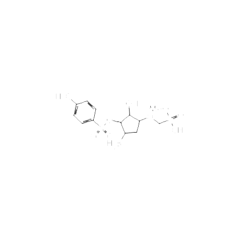 BC1CC(OCP(C)(=O)OC)C(O)C1OS(=O)(=O)c1ccc(C)cc1